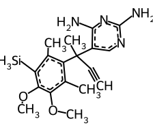 C#CC(C)(c1cnc(N)nc1N)c1c(C)c([SiH3])c(OC)c(OC)c1C